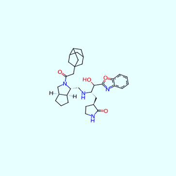 O=C1NCC[C@H]1C[C@H](NC[C@@H]1[C@H]2CCC[C@H]2CN1C(=O)CC12CC3CC(C1)C(C3)C2)C(O)c1nc2ccccc2o1